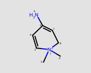 C[N+]1(C)C=CC(N)=CC1